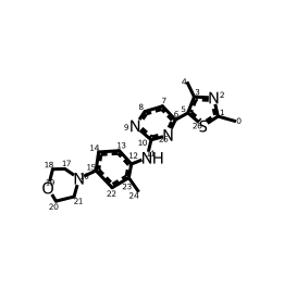 Cc1nc(C)c(-c2ccnc(Nc3ccc(N4CCOCC4)cc3C)n2)s1